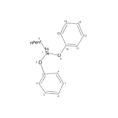 CCCCC[SiH](Oc1ccccc1)Oc1ccccc1